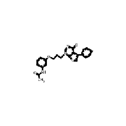 CC(=O)Nc1cccc(OCCCn2cnc(=O)c3c(-c4ccccc4)csc32)c1